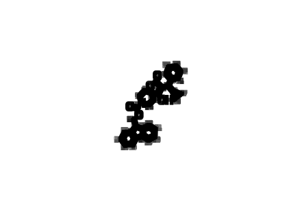 O=C1OC2(CCN(C(=O)OCC3c4ccccc4-c4ccccc43)CC2)C(O)=C1C(c1ccccc1)C1CC1